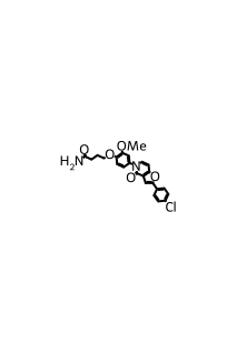 COc1cc(-n2ccc3oc(-c4ccc(Cl)cc4)cc3c2=O)ccc1OCCCC(N)=O